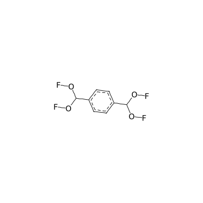 FOC(OF)c1ccc(C(OF)OF)cc1